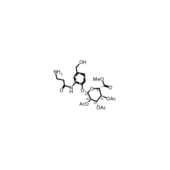 COC(=O)[C@H]1O[C@@H](Oc2ccc(CO)cc2NC(=O)CCN)[C@H](OC(C)=O)[C@@H](OC(C)=O)[C@@H]1OC(C)=O